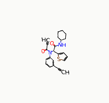 C#CC(=O)N(c1cccc(C#C)c1)C(C(=O)NC1CCCCC1)c1cccs1